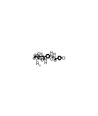 Cc1[nH]c(C=C2C(=O)Nc3cc(NC(=O)NC(=O)c4ccc(Cl)cc4)ccc32)c(C)c1C(=O)O